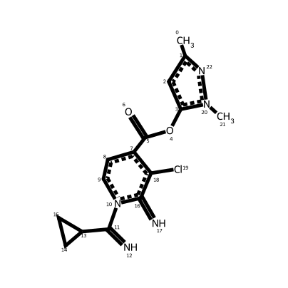 Cc1cc(OC(=O)c2ccn(C(=N)C3CC3)c(=N)c2Cl)n(C)n1